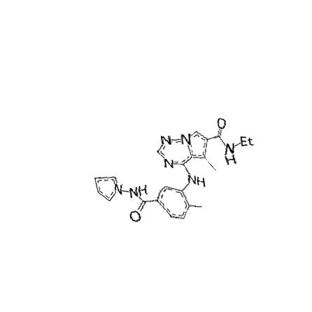 CCNC(=O)c1cn2ncnc(Nc3cc(C(=O)Nn4cccc4)ccc3C)c2c1C